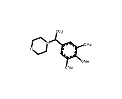 COc1cc(C(C(=O)O)N2CCOCC2)cc(OC)c1OC